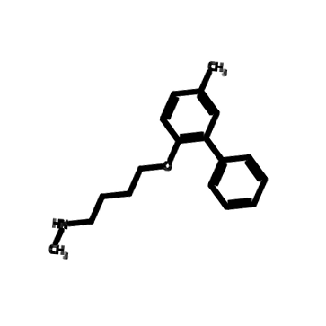 CNCCCCOc1ccc(C)cc1-c1ccccc1